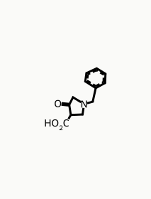 O=C(O)C1CN(Cc2ccccc2)CC1=O